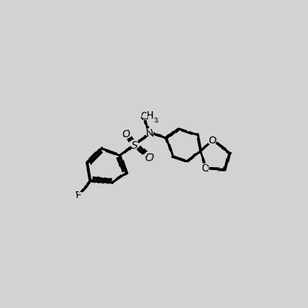 CN(C1CCC2(CC1)OCCO2)S(=O)(=O)c1ccc(F)cc1